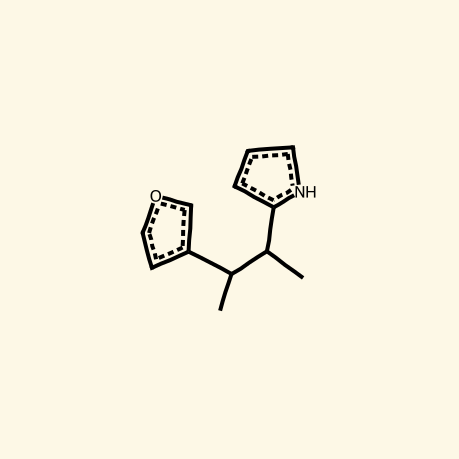 CC(c1ccoc1)C(C)c1ccc[nH]1